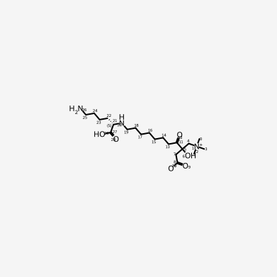 C[N+](C)(C)CC(O)(CC(=O)[O-])C(=O)CCCCCCCN[C@@H](CCCCN)C(=O)O